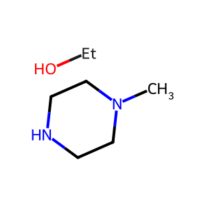 CCO.CN1CCNCC1